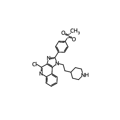 CS(=O)(=O)c1ccc(-c2nc3c(Cl)nc4ccccc4c3n2CCC2CCNCC2)cc1